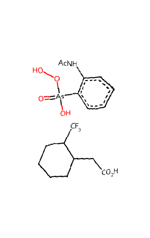 CC(=O)Nc1ccccc1[As](=O)(O)OO.O=C(O)CC1CCCCC1C(F)(F)F